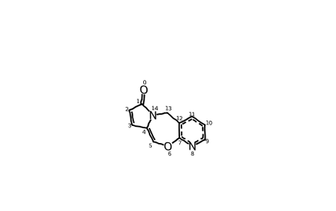 O=C1C=CC2=COc3ncccc3CN12